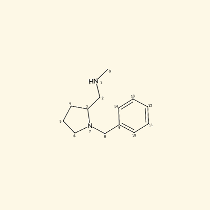 CNCC1CCCN1Cc1ccccc1